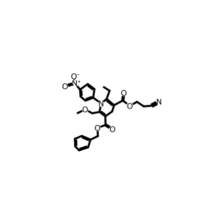 CCC1=C(C(=O)OCCC#N)CC(C(=O)OCc2ccccc2)=C(COC)N1c1ccc([N+](=O)[O-])cc1